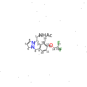 CC(=O)NCCN1C=CCN1Cc1ccc(OCC(F)F)c(C)c1